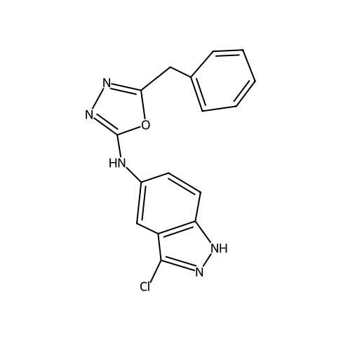 Clc1n[nH]c2ccc(Nc3nnc(Cc4ccccc4)o3)cc12